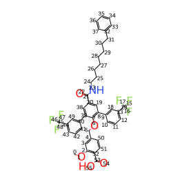 COc1cc(COc2c(-c3cccc(C(F)(F)F)c3)cc(C(=O)NCCCCCCCCc3ccccc3)cc2-c2cccc(C(F)(F)F)c2)ccc1C(=O)O